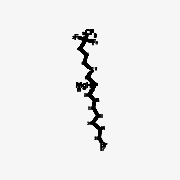 FC(F)(F)C(F)(F)CCCSCCCCCCCCCBr.[MgH2]